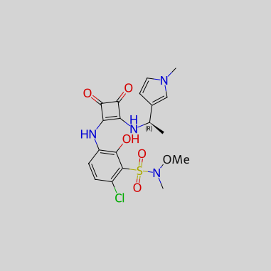 CON(C)S(=O)(=O)c1c(Cl)ccc(Nc2c(N[C@H](C)c3ccn(C)c3)c(=O)c2=O)c1O